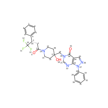 O=C(C[C@@H](c1ccccc1)C(F)(F)F)N1CCC(O)(Cn2cnc3c(cnn3-c3ccccc3)c2=O)CC1